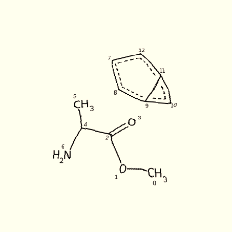 COC(=O)C(C)N.c1cc2cc-2c1